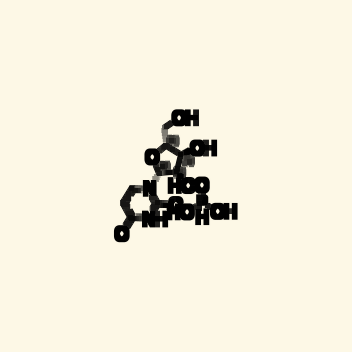 O=[PH](O)O.O=c1ccn([C@@H]2O[C@H](CO)[C@@H](O)[C@H]2O)c(=O)[nH]1